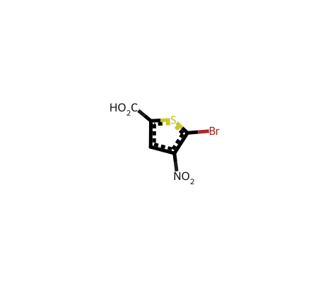 O=C(O)c1cc([N+](=O)[O-])c(Br)s1